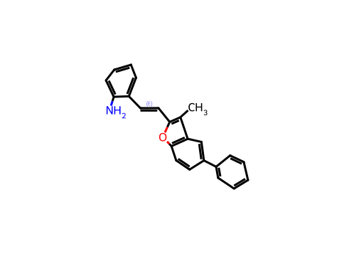 Cc1c(/C=C/c2ccccc2N)oc2ccc(-c3ccccc3)cc12